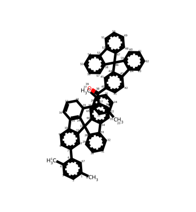 Cc1ccc(C)c(-c2ccc3c(c2)C2(C4=C3C=CCC4c3cc(C)ccc3C)c3ccccc3-c3ccc(C(=O)c4ccc5c(c4)C4(c6ccccc6-c6ccccc64)c4ccccc4-5)cc32)c1